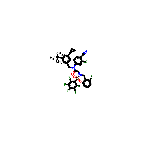 CC(C)(C)c1cc(CN(C(=O)CN(Cc2ccccc2F)S(=O)(=O)c2c(F)c(F)c(F)c(F)c2F)c2ccc(C#N)c(F)c2)cc(C2CC2)c1